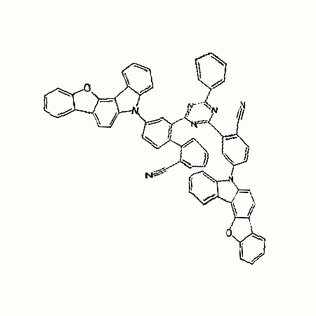 N#Cc1ccc(-n2c3ccccc3c3c4oc5ccccc5c4ccc32)cc1-c1nc(-c2ccccc2)nc(-c2cc(-n3c4ccccc4c4c5oc6ccccc6c5ccc43)ccc2-c2ccccc2C#N)n1